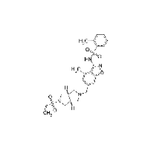 C=CS(=O)(=O)N1C[C@H]2CN(Cc3cc(C)c4c(NS(=O)(=O)c5ccccc5C)noc4c3)C[C@H]2C1